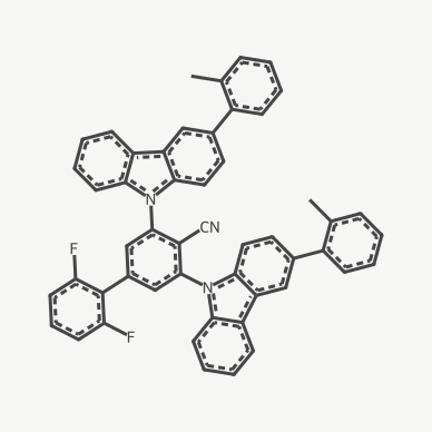 Cc1ccccc1-c1ccc2c(c1)c1ccccc1n2-c1cc(-c2c(F)cccc2F)cc(-n2c3ccccc3c3cc(-c4ccccc4C)ccc32)c1C#N